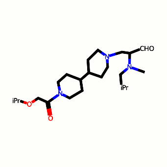 CC(C)CN(C)C(C=O)CN1CCC(C2CCN(C(=O)COC(C)C)CC2)CC1